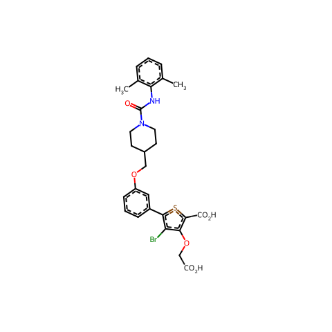 Cc1cccc(C)c1NC(=O)N1CCC(COc2cccc(-c3sc(C(=O)O)c(OCC(=O)O)c3Br)c2)CC1